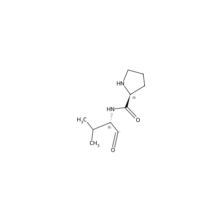 CC(C)[C@@H]([C]=O)NC(=O)[C@@H]1CCCN1